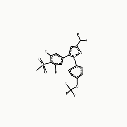 CS(=O)(=O)c1c(F)cc(-c2cc(C(F)F)nn2-c2ccc(OC(F)(F)F)cc2)cc1F